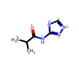 CC(C)C(=O)NC1=NN=C[N]1